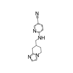 N#Cc1ccc(NCC2CCn3ccnc3C2)nc1